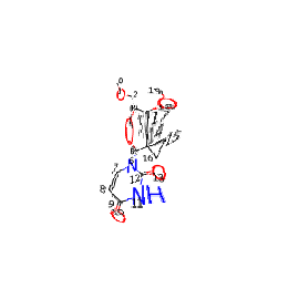 COC[C@H]1O[C@@H](n2ccc(=O)[nH]c2=O)C2(CC2)[C@@H]1OC